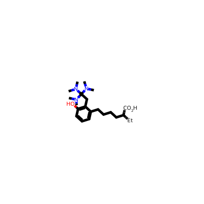 CCC(CCCCc1cccc(O)c1CC(N(C)C)(N(C)C)N(C)C)C(=O)O